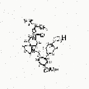 COc1ccc(CN2CCCC23CCN(C(=O)OC(C(F)(F)F)C(F)(F)F)CC3)c(N2CCC(C(=O)O)CC2)c1